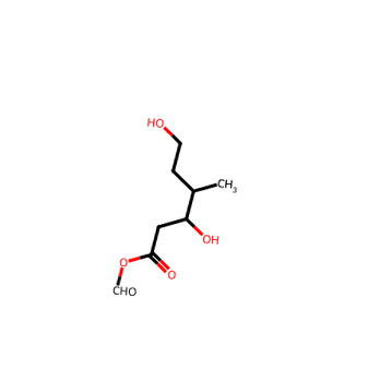 CC(CCO)C(O)CC(=O)OC=O